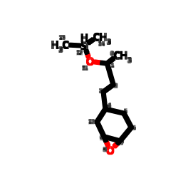 CC(CCC1CCC2OC2C1)O[SiH](C)C